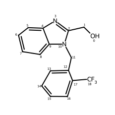 OCc1nc2ccccc2n1Cc1ccccc1C(F)(F)F